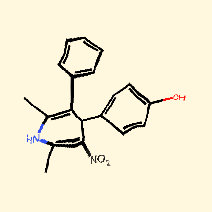 CC1=C(c2ccccc2)C(c2ccc(O)cc2)C([N+](=O)[O-])=C(C)N1